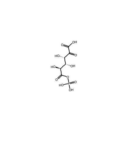 O=C(O)C(=O)[C@@H](O)[C@H](O)[C@H](O)C(=O)OP(=O)(O)O